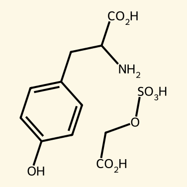 NC(Cc1ccc(O)cc1)C(=O)O.O=C(O)COS(=O)(=O)O